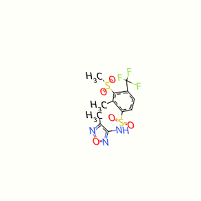 Cc1nonc1NS(=O)(=O)c1ccc(C(F)(F)F)c(S(C)(=O)=O)c1C